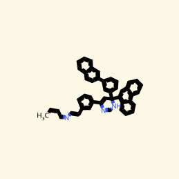 C\C=C/C=N\C=C\c1cccc(C2=CC(c3cccc(-c4ccc5ccccc5c4)c3)(c3cc4ccccc4c4ccccc34)NC=N2)c1